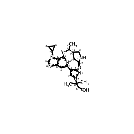 CC(Oc1nc(-c2cnn(C(C)(C)CO)c2)cc2ncn(C3CC3)c12)[C@H]1CNC(=O)C1